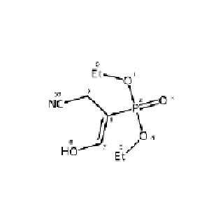 CCOP(=O)(OCC)C(=CO)CC#N